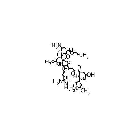 CCCON[C@@H](CC(N)=O)C(=O)N[C@@H](CC(C)C)C(=O)N[C@@H](CCCNC(N)N)C(=O)NCC(=O)C(=O)[C@H](CC(=O)O)NN[C@H](C=O)CC(C)C